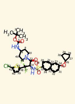 CC(C)(C)OC(=O)NC1CCN(C(=O)C(NS(=O)(=O)c2ccc3cc(OC4CCCC4)ccc3c2)C(F)(F)c2ccc(Cl)s2)CC1